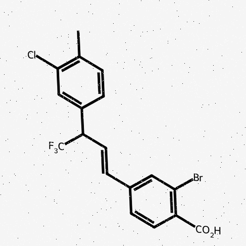 Cc1ccc(C(C=Cc2ccc(C(=O)O)c(Br)c2)C(F)(F)F)cc1Cl